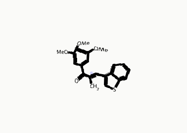 COc1cc(C(=O)/C(C)=C/c2csc3ccccc23)cc(OC)c1OC